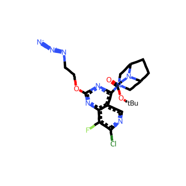 CC(C)(C)OC(=O)N1C2CCC1CN(c1nc(OCCN=[N+]=[N-])nc3c(F)c(Cl)ncc13)C2